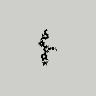 CCc1cccc(Cn2cc(-c3cc(-c4ccc5c(c4)OC(F)(F)O5)nc(N)n3)nn2)n1